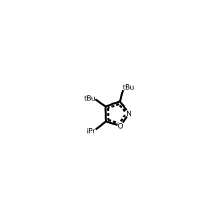 CC(C)c1onc(C(C)(C)C)c1C(C)(C)C